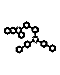 c1ccc(-c2ccc(-c3nc(-c4ccc(-c5ccccc5)cc4)nc(-c4cccc(-c5cccc(-c6nc7cc8ccccc8cc7c7ccccc67)c5)c4)n3)cc2)cc1